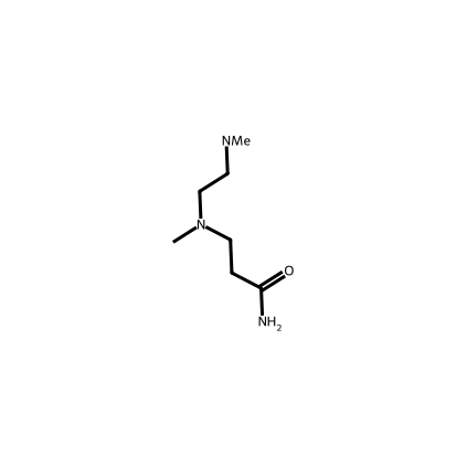 CNCCN(C)CCC(N)=O